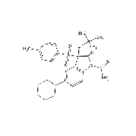 Cc1ccc(S(=O)(=O)C2(O[Si](C)(C)C)c3cc(C4CCCCC4)ccc3N(C(N)=O)C2Cl)cc1